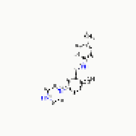 Cc1ccc(NCc2cc(N3CCNCC3)ccc2C#N)cc1